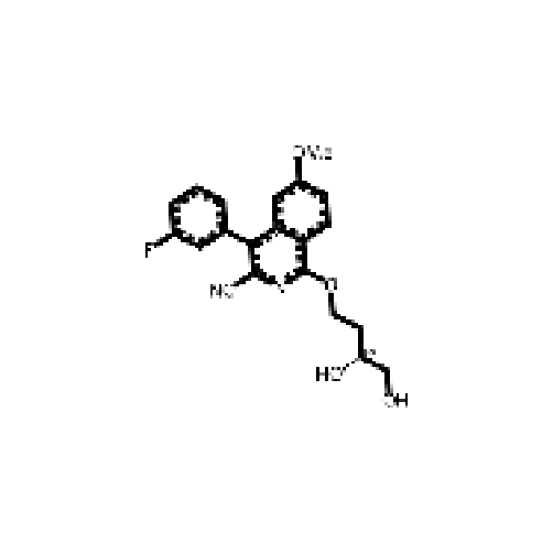 COc1ccc2c(OCC[C@@H](O)CO)nc(C#N)c(-c3cccc(F)c3)c2c1